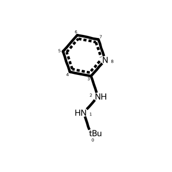 CC(C)(C)NNc1ccccn1